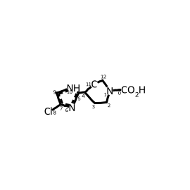 O=C(O)N1CCC(c2nc(Cl)c[nH]2)CC1